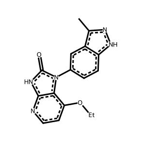 CCOc1ccnc2[nH]c(=O)n(-c3ccc4[nH]nc(C)c4c3)c12